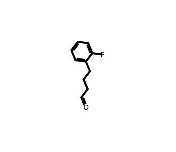 O=CCCCc1ccccc1F